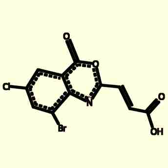 O=C(O)C=Cc1nc2c(Br)cc(Cl)cc2c(=O)o1